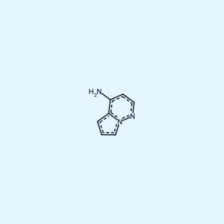 Nc1ccnn2cccc12